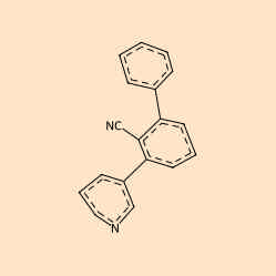 N#Cc1c(-c2ccccc2)cccc1-c1cccnc1